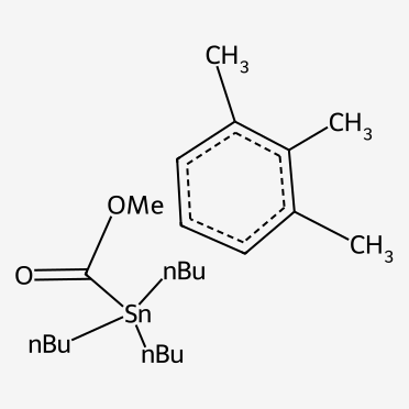 CCC[CH2][Sn]([CH2]CCC)([CH2]CCC)[C](=O)OC.Cc1cccc(C)c1C